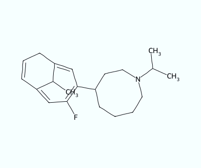 CC1C2=CC(F)=C(C3CCCCN(C(C)C)CC3)C=C1CC=C2